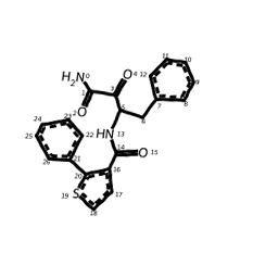 NC(=O)C(=O)C(Cc1ccccc1)NC(=O)c1ccsc1-c1ccccc1